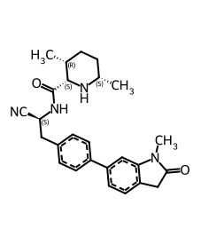 C[C@@H]1CC[C@H](C)N[C@@H]1C(=O)N[C@H](C#N)Cc1ccc(-c2ccc3c(c2)N(C)C(=O)C3)cc1